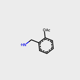 CC(=O)Oc1ccccc1C[NH]